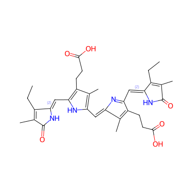 CCC1=C(C)C(=O)N/C1=C\C1=NC(=Cc2[nH]c(/C=C3\NC(=O)C(C)=C3CC)c(CCC(=O)O)c2C)C(C)=C1CCC(=O)O